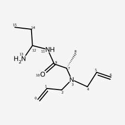 C=CCN(CC=C)[C@@H](C)C(=O)NC(N)CC